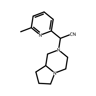 Cc1cccc(C(C#N)N2CCN3CCCC3C2)n1